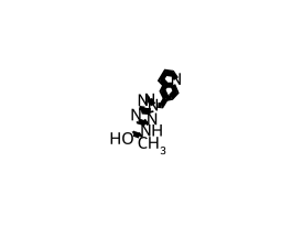 CC(CO)Nc1cnc2nnn(Cc3ccc4ncccc4c3)c2n1